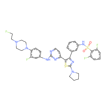 O=S(=O)(Nc1cccc(-c2nc(N3CCCC3)sc2-c2ccnc(Nc3ccc(N4CCN(CCF)CC4)c(F)c3)n2)c1)c1c(F)cccc1F